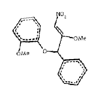 COC(=C[N+](=O)[O-])C(Oc1ccccc1OC)c1ccccc1